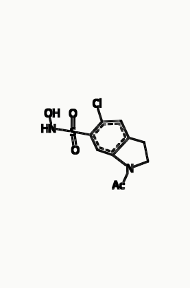 CC(=O)N1CCc2cc(Cl)c(S(=O)(=O)NO)cc21